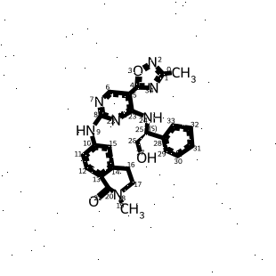 Cc1noc(-c2cnc(Nc3ccc4c(c3)CCN(C)C4=O)nc2N[C@H](CO)c2ccccc2)n1